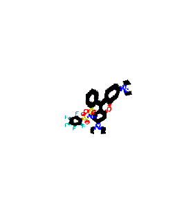 CCN(CC)c1ccc2c(-c3ccccc3S(=O)(=O)NS(=O)(=O)c3c(F)c(F)c(F)c(F)c3F)c3ccc(=[N+](CC)CC)cc-3oc2c1